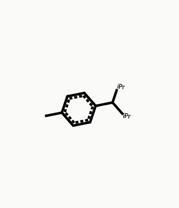 Cc1ccc([C](C(C)C)C(C)C)cc1